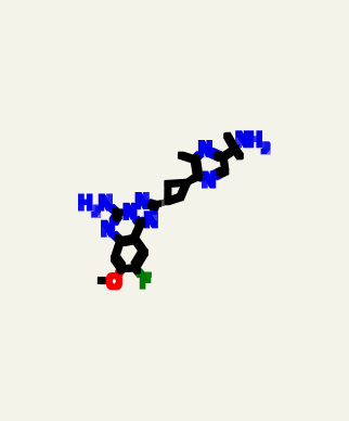 COc1cc2nc(N)n3nc([C@H]4C[C@H](c5ncc(C(C)(C)N)nc5C)C4)nc3c2cc1F